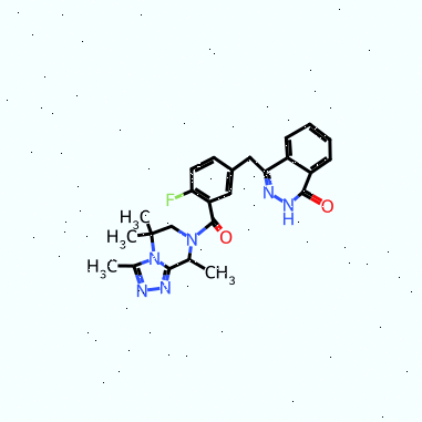 Cc1nnc2n1C(C)(C)CN(C(=O)c1cc(Cc3n[nH]c(=O)c4ccccc34)ccc1F)C2C